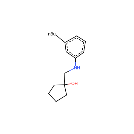 CCCCc1cccc(NCC2(O)CCCC2)c1